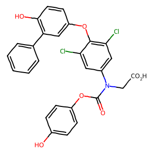 O=C(O)CN(C(=O)Oc1ccc(O)cc1)c1cc(Cl)c(Oc2ccc(O)c(-c3ccccc3)c2)c(Cl)c1